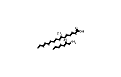 CCCCCC(O)CN.CCCCCCCCCCCCCCCC(=O)O.P